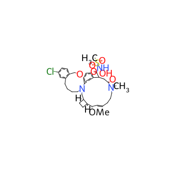 CO[C@H]1/C=C/CCCN(C)C(=O)C[C@@](O)(C(=O)NS(C)(=O)=O)c2ccc3c(c2)N(CCCCc2cc(Cl)ccc2CO3)C[C@@H]2CC[C@H]21